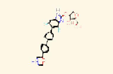 OC[C@H]1OC[C@@H](Oc2nc3c(F)c(-c4ccc(-c5ccc(C6CNCCO6)cc5)cc4)c(F)cc3[nH]2)[C@@H]1O